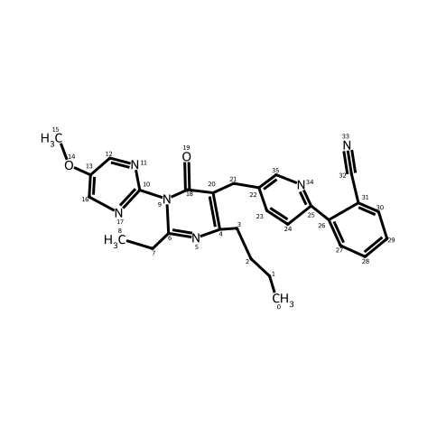 CCCCc1nc(CC)n(-c2ncc(OC)cn2)c(=O)c1Cc1ccc(-c2ccccc2C#N)nc1